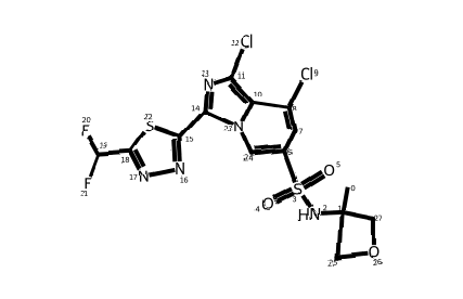 CC1(NS(=O)(=O)c2cc(Cl)c3c(Cl)nc(-c4nnc(C(F)F)s4)n3c2)COC1